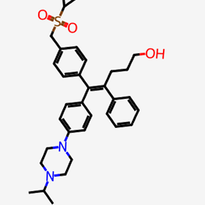 CC(C)N1CCN(c2ccc(/C(=C(/CCCO)c3ccccc3)c3ccc(CS(=O)(=O)C4CC4)cc3)cc2)CC1